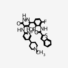 Cc1c(-c2n[nH]c(=O)c(Nc3ccc(C4CCN(C)CC4)cn3)c2C)ccc(F)c1NC(=O)c1cc2ccccc2s1